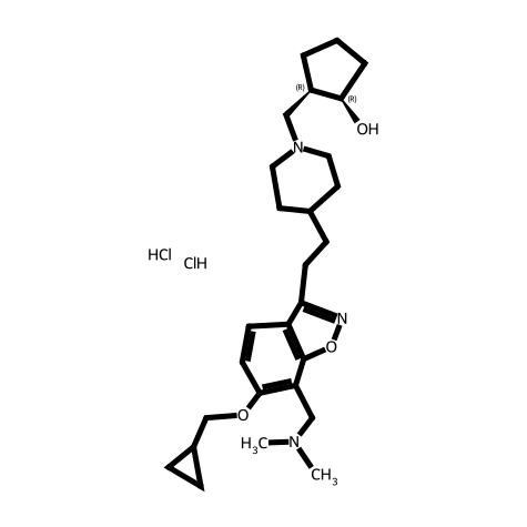 CN(C)Cc1c(OCC2CC2)ccc2c(CCC3CCN(C[C@H]4CCC[C@H]4O)CC3)noc12.Cl.Cl